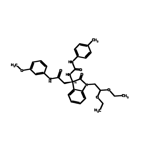 CCOC(CN1C(=O)[C@@](CC(=O)Nc2cccc(OC)c2)(NC(=O)Nc2ccc(C)cc2)c2ccccc21)OCC